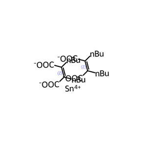 CCCC/C(C(=O)[O-])=C(\CCCC)C(=O)[O-].CCCC/C(C(=O)[O-])=C(\CCCC)C(=O)[O-].[Sn+4]